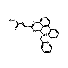 COC(=O)C=Cc1nc(NCc2ccccn2)c2c(-c3ccccc3)cccc2n1